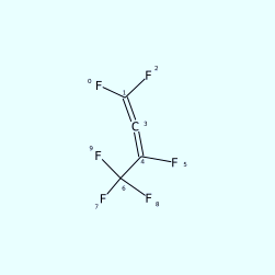 FC(F)=C=C(F)C(F)(F)F